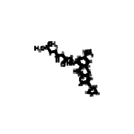 CN(C)CCNCC(=O)CNc1cc(C(F)(F)F)cc2c1Nc1ccc(N3CCCC3)cc1S2.Cl